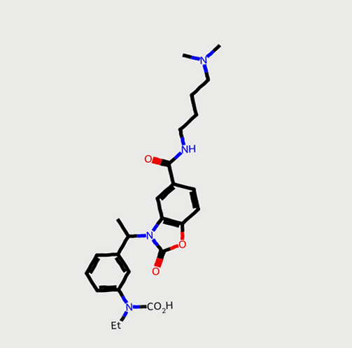 CCN(C(=O)O)c1cccc(C(C)n2c(=O)oc3ccc(C(=O)NCCCCN(C)C)cc32)c1